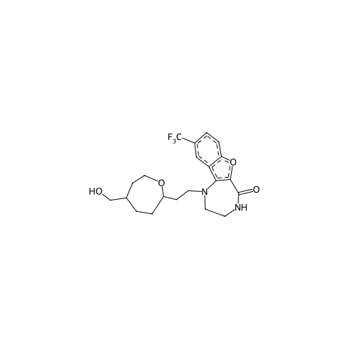 O=C1NCCN(CCC2CCC(CO)CCO2)c2c1oc1ccc(C(F)(F)F)cc21